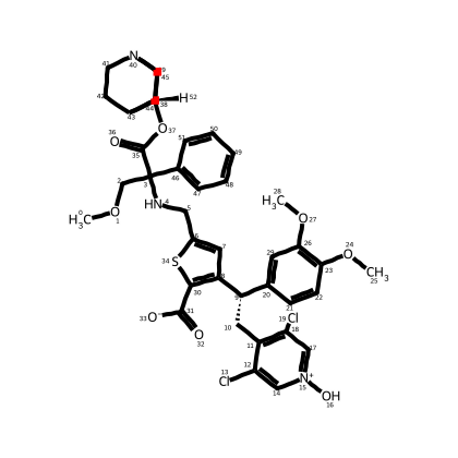 COCC(NCc1cc([C@@H](Cc2c(Cl)c[n+](O)cc2Cl)c2ccc(OC)c(OC)c2)c(C(=O)[O-])s1)(C(=O)O[C@H]1CN2CCC1CC2)c1ccccc1